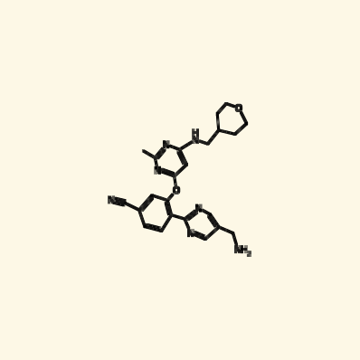 Cc1nc(NCC2CCOCC2)cc(Oc2cc(C#N)ccc2-c2ncc(CN)cn2)n1